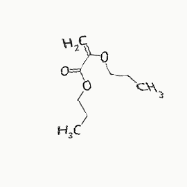 C=C(OCCC)C(=O)OCCC